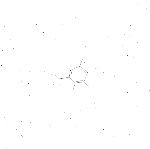 CC(C)Cc1cc(N)cc(C(=O)O)c1O